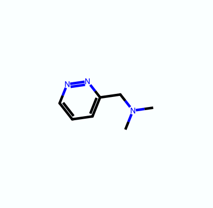 CN(C)Cc1cccnn1